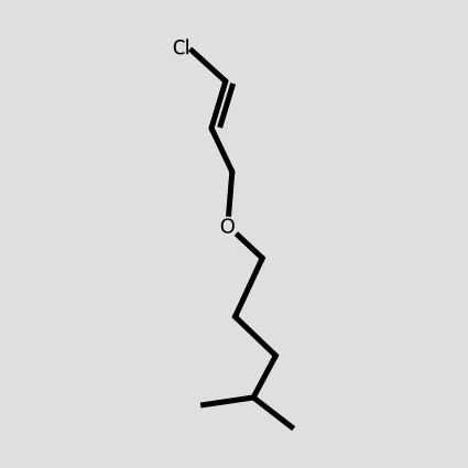 CC(C)CCCOC/C=C/Cl